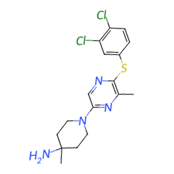 Cc1nc(N2CCC(C)(N)CC2)cnc1Sc1ccc(Cl)c(Cl)c1